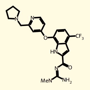 CNC(N)=NC(=O)c1cc2c(C(F)(F)F)ccc(Oc3ccnc(CN4CCCC4)c3)c2[nH]1